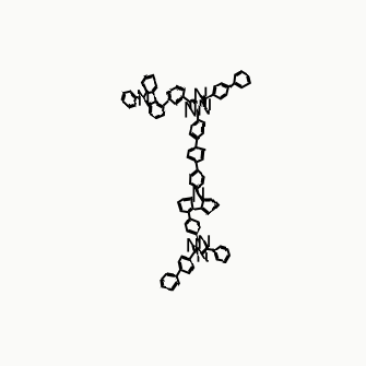 c1ccc(-c2ccc(-c3nc(-c4ccccc4)nc(-c4ccc(-c5cccc6c5c5ccccc5n6-c5ccc(-c6ccc(-c7ccc(-c8nc(-c9ccc(-c%10ccccc%10)cc9)nc(-c9cccc(-c%10cccc%11c%10c%10ccccc%10n%11-c%10ccccc%10)c9)n8)cc7)cc6)cc5)cc4)n3)cc2)cc1